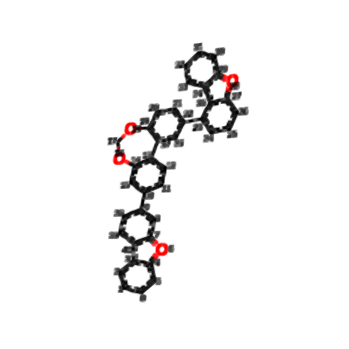 c1ccc2c(c1)oc1cc(-c3ccc4c(c3)OCOc3ccc(-c5cccc6oc7ccccc7c56)cc3-4)ccc12